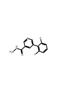 NNC(=O)c1cncc(-c2c(F)cccc2F)c1